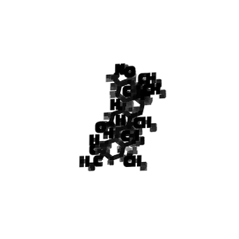 C=C[C@]12CCC(C)(C)C[C@H]1[C@H]1C(=O)C[C@@H]3[C@@]4(C)Cc5cnoc5C(C)(C)[C@@H]4CC[C@@]3(C)[C@]1(C)CC2